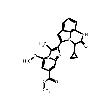 COC(=O)c1cc(OC)n2c(C)c(-c3cc4cccc5c4n3C(C3CC3)C(=O)N5)nc2c1